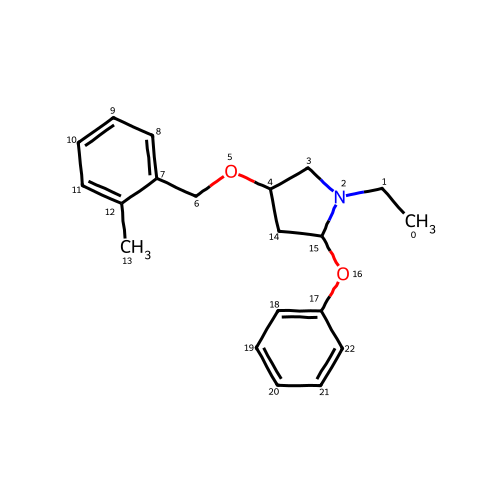 CCN1CC(OCc2ccccc2C)CC1Oc1ccccc1